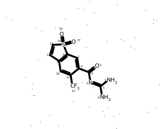 NC(N)=NC(=O)c1cc2c(cc1C(F)(F)F)C=CS2(=O)=O